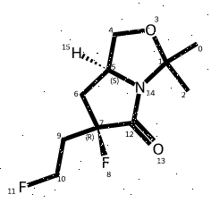 CC1(C)OC[C@@H]2C[C@@](F)(CCF)C(=O)N21